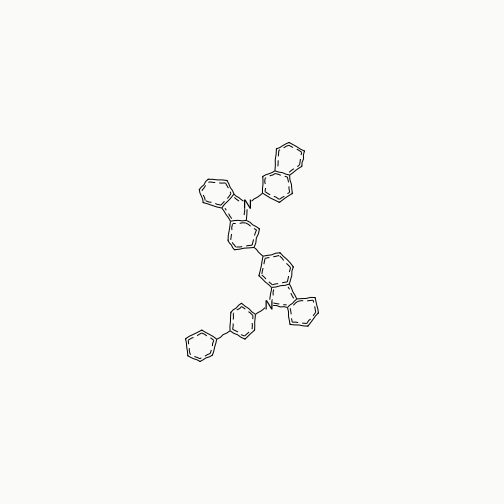 c1ccc(-c2ccc(-n3c4ccccc4c4ccc(-c5ccc6c7ccccc7n(-c7ccc8ccccc8c7)c6c5)cc43)cc2)cc1